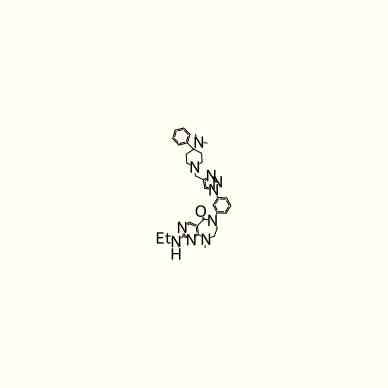 CCNc1ncc2c(n1)N(C)CCN(c1cccc(-n3cc(CN4CCC(c5ccccc5)(N(C)C)CC4)nn3)c1)C2=O